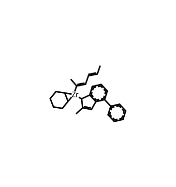 CC=CC=[C](C)[Zr]1([CH]2C(C)=Cc3c(-c4ccccc4)cccc32)[CH]2CCCC[CH]21